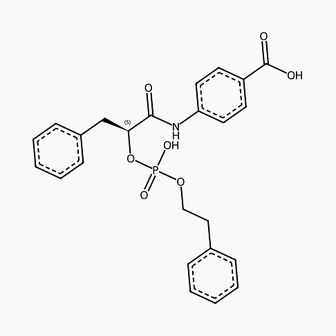 O=C(O)c1ccc(NC(=O)[C@H](Cc2ccccc2)OP(=O)(O)OCCc2ccccc2)cc1